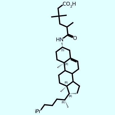 CC(C)CCC[C@@H](C)[C@H]1CCC2C3CC=C4C[C@@H](NC(=O)C(C)CC(C)(C)CC(=O)O)CC[C@]4(C)C3CC[C@@]21C